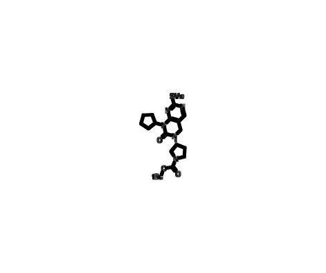 CSc1ncc2c(n1)N(C1CCCC1)C(=O)N([C@@H]1CCN(C(=O)OC(C)(C)C)C1)C2